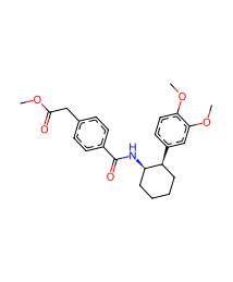 COC(=O)Cc1ccc(C(=O)N[C@@H]2CCCC[C@@H]2c2ccc(OC)c(OC)c2)cc1